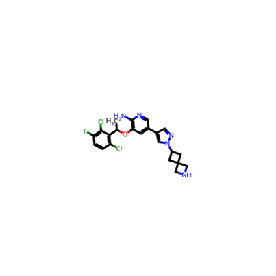 CC(Oc1cc(-c2cnn(C3CC4(CNC4)C3)c2)cnc1N)c1c(Cl)ccc(F)c1Cl